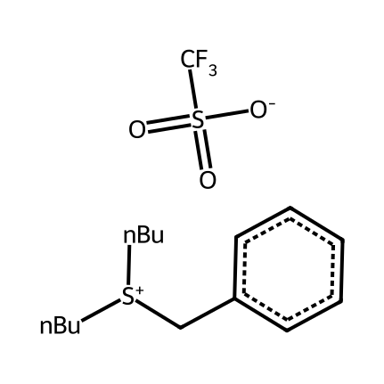 CCCC[S+](CCCC)Cc1ccccc1.O=S(=O)([O-])C(F)(F)F